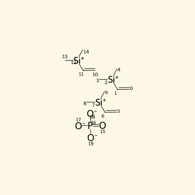 C=C[Si+](C)C.C=C[Si+](C)C.C=C[Si+](C)C.O=P([O-])([O-])[O-]